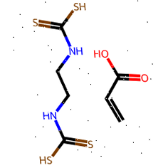 C=CC(=O)O.S=C(S)NCCNC(=S)S